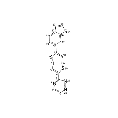 c1cnc(-c2cc3sc(-c4ccc5ccsc5c4)cc3s2)nn1